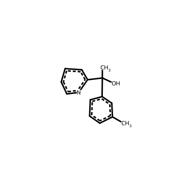 Cc1cccc(C(C)(O)c2ccccn2)c1